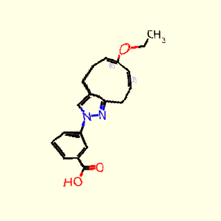 CCOC1=C/CCc2cn(-c3cccc(C(=O)O)c3)nc2C/C=C\1